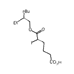 CCCCC(CC)COC(=O)C(I)CCCC(=O)O